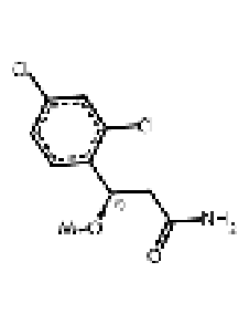 CO[C@H]([CH]C(N)=O)c1ccc(Cl)cc1Cl